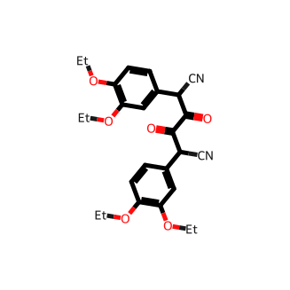 CCOc1ccc(C(C#N)C(=O)C(=O)C(C#N)c2ccc(OCC)c(OCC)c2)cc1OCC